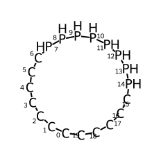 C1CCCCCCPPPPPPPPCCCCC1